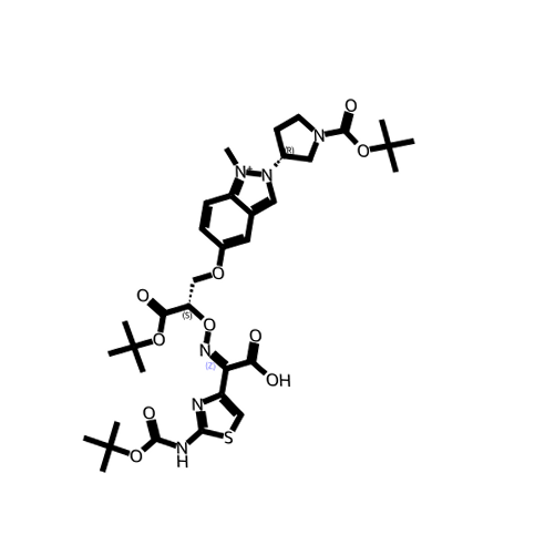 C[n+]1c2ccc(OC[C@H](O/N=C(\C(=O)O)c3csc(NC(=O)OC(C)(C)C)n3)C(=O)OC(C)(C)C)cc2cn1[C@@H]1CCN(C(=O)OC(C)(C)C)C1